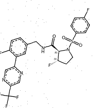 O=C(NCc1ccc(F)c(-c2cnc(C(F)(F)F)cn2)c1)[C@@H]1[C@@H](F)CCN1S(=O)(=O)c1ccc(F)cc1